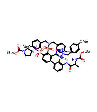 COc1ccc(CN(Cc2ccc(OC)cc2)S(=O)(=O)c2c(S(=O)(=O)N[C@@H]3CCN(C(=O)OC(C)(C)C)C3)ccc(-c3cccc(NC(=O)C(C)NC(=O)OC(C)(C)C)c3N)c2-c2nnn(Cc3ccc(OC)cc3)n2)cc1